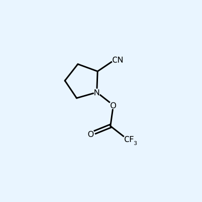 N#CC1CCCN1OC(=O)C(F)(F)F